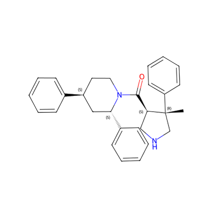 C[C@@]1(c2ccccc2)CNC[C@H]1C(=O)N1CC[C@H](c2ccccc2)C[C@H]1c1ccccc1